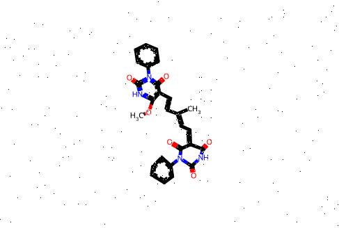 COc1[nH]c(=O)n(-c2ccccc2)c(=O)c1/C=C/C(C)=C/C=C1/C(=O)NC(=O)N(c2ccccc2)C1=O